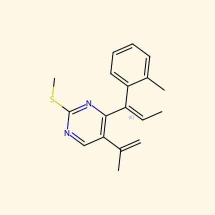 C=C(C)c1cnc(SC)nc1/C(=C/C)c1ccccc1C